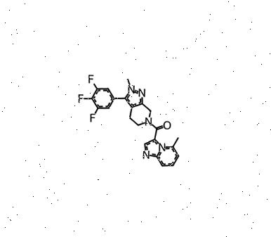 Cc1cccc2ncc(C(=O)N3CCc4c(nn(C)c4-c4cc(F)c(F)c(F)c4)C3)n12